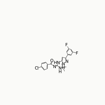 CC(C)(C)N/C(=N/C(=O)c1ccc(Cl)cc1)Nc1cc(-c2cc(F)cc(F)c2)n[nH]1